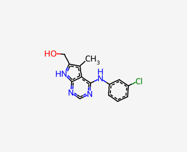 Cc1c(CO)[nH]c2ncnc(Nc3cccc(Cl)c3)c12